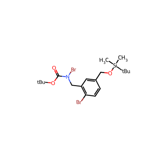 CC(C)(C)OC(=O)N(Br)Cc1cc(CO[Si](C)(C)C(C)(C)C)ccc1Br